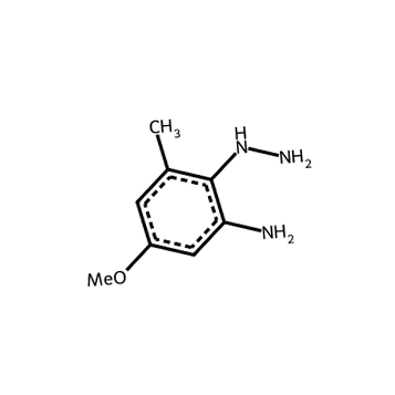 COc1cc(C)c(NN)c(N)c1